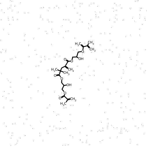 C=C(C)C(=C)OCC(O)COC(=O)C(=C)CC(C)(C)C(=O)OCC(O)COC(=O)C(=C)C